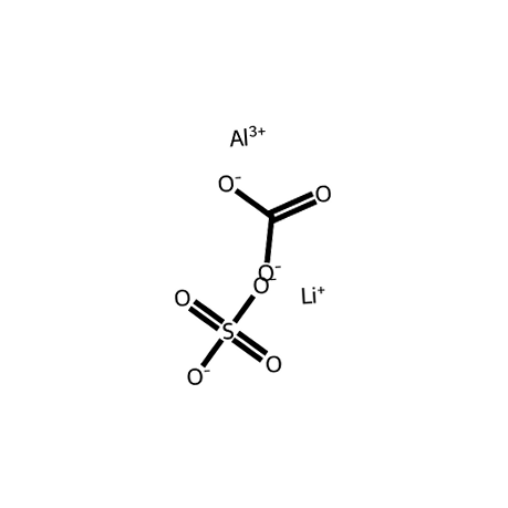 O=C([O-])[O-].O=S(=O)([O-])[O-].[Al+3].[Li+]